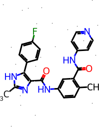 Cc1ccc(NC(=O)c2nc(C(F)(F)F)[nH]c2-c2ccc(F)cc2)cc1C(=O)Nc1ccncc1